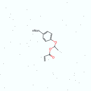 C=CC(=O)OC(C)Oc1ccc(CCCCCCCCC)cc1